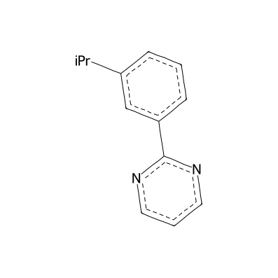 CC(C)c1cccc(-c2ncccn2)c1